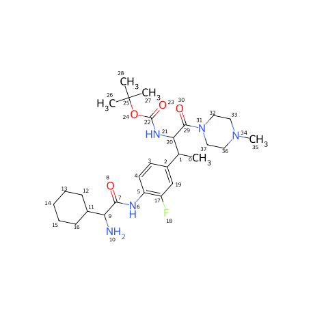 CC(c1ccc(NC(=O)C(N)C2CCCCC2)c(F)c1)C(NC(=O)OC(C)(C)C)C(=O)N1CCN(C)CC1